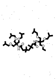 CCOCC(COCC(C)C)(COCC(C)C)NC(=O)CC(C)(C)CC(C)(C)CC(=O)NC(COCC(C)C)(COCC(C)C)COCC(C)C